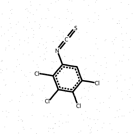 S=C=Nc1cc(Cl)c(Cl)c(Cl)c1Cl